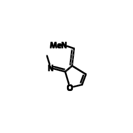 C/N=C1/OC=C/C1=C/NC